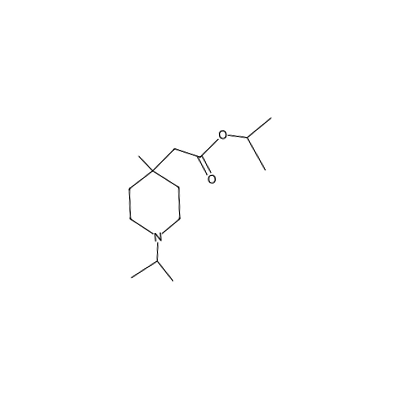 CC(C)OC(=O)CC1(C)CCN(C(C)C)CC1